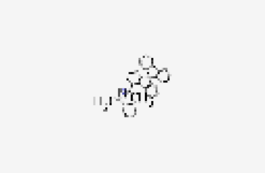 C=C(/N=C(\C)C1CC=CC2=C1c1ccccc1C21C2=C(CCC=C2)c2ccccc21)C1C=CC=CC1